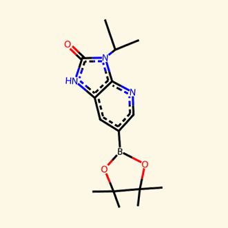 CC(C)n1c(=O)[nH]c2cc(B3OC(C)(C)C(C)(C)O3)cnc21